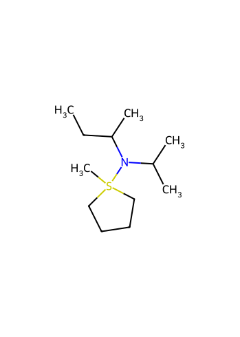 CCC(C)N(C(C)C)S1(C)CCCC1